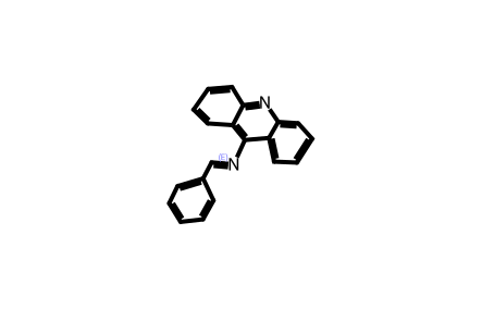 C(=N\c1c2ccccc2nc2ccccc12)/c1ccccc1